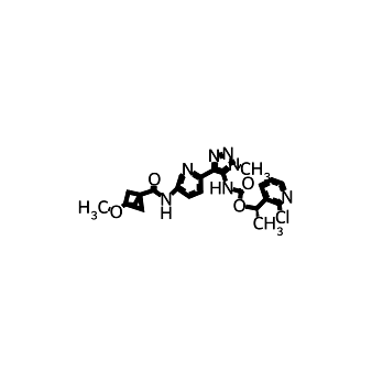 COC12CC(C(=O)Nc3ccc(-c4nnn(C)c4NC(=O)O[C@H](C)c4cccnc4Cl)nc3)(C1)C2